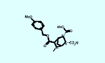 COC(=O)[C@H]1C2CC([C@@H](C)C2C(=O)OCc2ccc(OC)cc2)[C@H]1C(=O)O